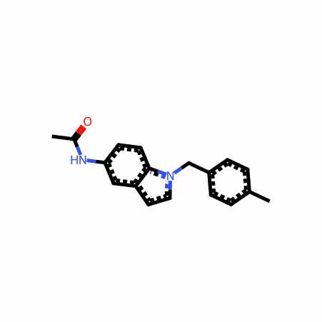 CC(=O)Nc1ccc2c(ccn2Cc2ccc(C)cc2)c1